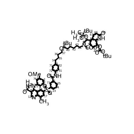 COc1cccc(Nc2c(C(N)=O)cnc3c(C)cc(S(=O)(=O)c4cccc(C(=O)Nc5ccc(CCCCO[C@H](CCCCCN(CC(O[Si](C)(C)C(C)(C)C)c6ccc(OC(=O)OC(C)(C)C)c7[nH]c(=O)ccc67)C(=O)O)C(C)(C)C)cc5)c4)cc23)c1